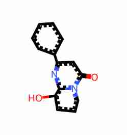 O=c1cc(-c2ccccc2)nc2c(O)cccn12